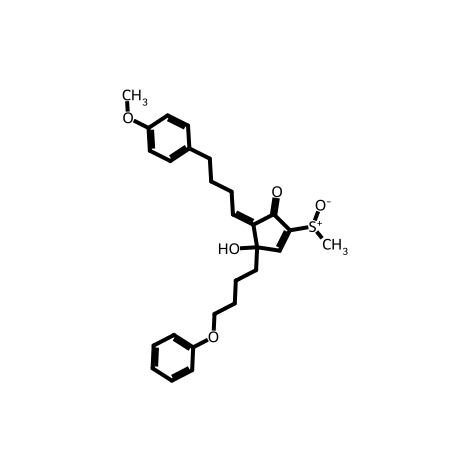 COc1ccc(CCC/C=C2\C(=O)C([S+](C)[O-])=CC2(O)CCCCOc2ccccc2)cc1